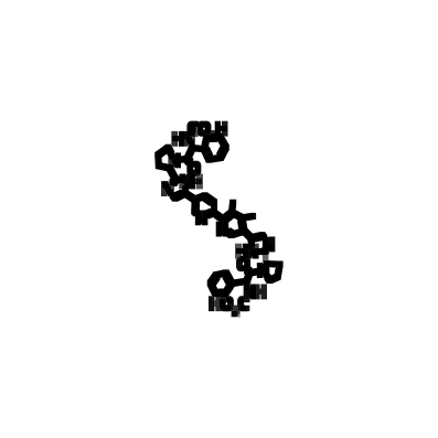 Cc1c(-c2cnc([C@@H]3CCCN3C(=O)[C@H](NC(=O)O)c3ccccc3)[nH]2)cnc(-c2ccc(-c3cnc(C4CCCN4C(=O)C(NC(=O)O)c4ccccc4)[nH]3)cn2)c1C